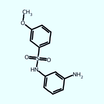 COc1cccc(S(=O)(=O)Nc2cccc(N)c2)c1